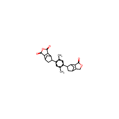 Cc1cc(C2CC3CC2C2C(=O)OC(=O)C32)c(C)cc1C1CC2CC1C1C(=O)OCC21